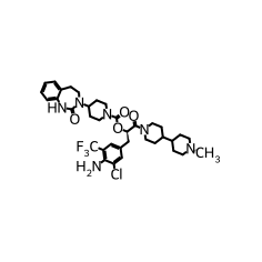 CN1CCC(C2CCN(C(=O)[C@@H](Cc3cc(Cl)c(N)c(C(F)(F)F)c3)OC(=O)N3CCC(N4CCc5ccccc5NC4=O)CC3)CC2)CC1